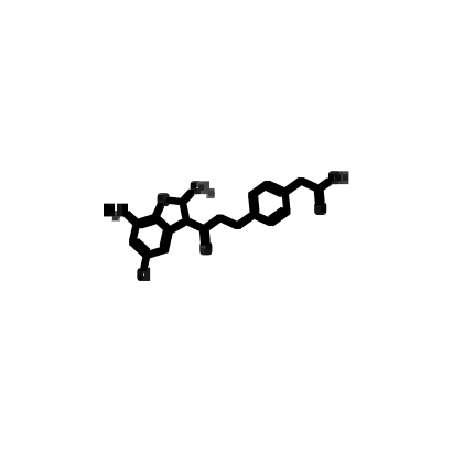 CC1Oc2c(N)cc(Cl)cc2C1C(=O)CCc1ccc(CC(=O)O)cc1